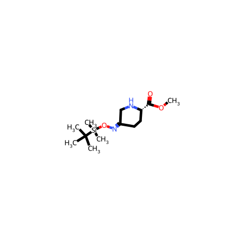 COC(=O)[C@@H]1CCC(=NO[Si](C)(C)C(C)(C)C)CN1